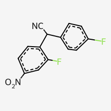 N#CC(c1ccc(F)cc1)c1ccc([N+](=O)[O-])cc1F